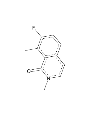 Cc1c(F)ccc2ccn(C)c(=O)c12